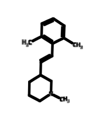 Cc1cccc(C)c1C=CC1CCCN(C)C1